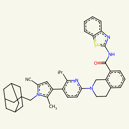 Cc1c(-c2ccc(N3CCc4cccc(C(=O)Nc5nc6ccccc6s5)c4C3)nc2C(C)C)cc(C#N)n1CC12CC3CC(CC(C3)C1)C2